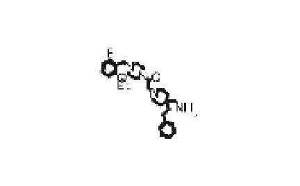 CCOc1cccc(F)c1CN1CCN(C(=O)CN2CCC(CN)(CCc3ccccc3)CC2)CC1